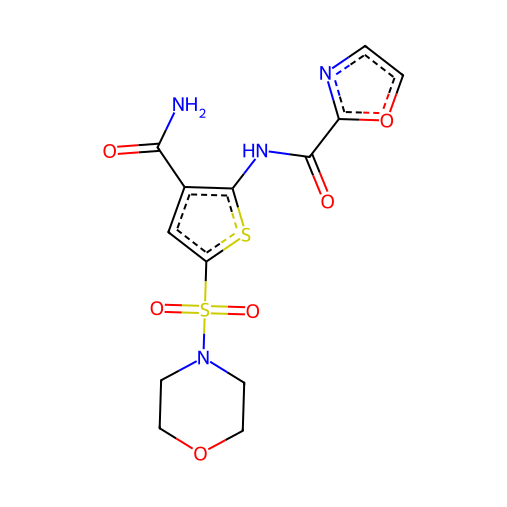 NC(=O)c1cc(S(=O)(=O)N2CCOCC2)sc1NC(=O)c1ncco1